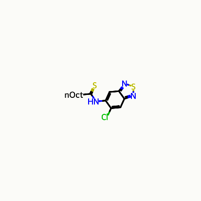 CCCCCCCCC(=S)Nc1cc2nsnc2cc1Cl